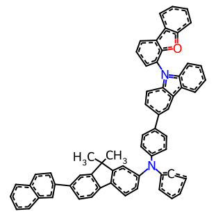 CC1(C)c2cc(-c3ccc4ccccc4c3)ccc2-c2ccc(N(c3ccccc3)c3ccc(-c4ccc5c(c4)c4ccccc4n5-c4cccc5c4oc4ccccc45)cc3)cc21